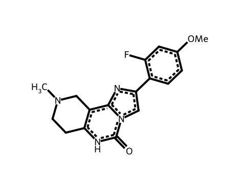 COc1ccc(-c2cn3c(=O)[nH]c4c(c3n2)CN(C)CC4)c(F)c1